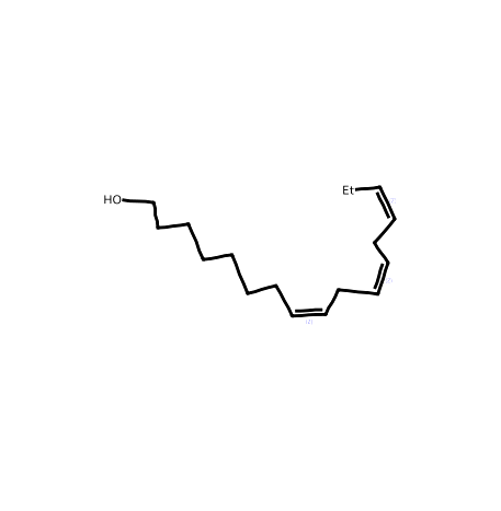 CC/C=C\C/C=C\C/C=C\CCCCCCCO